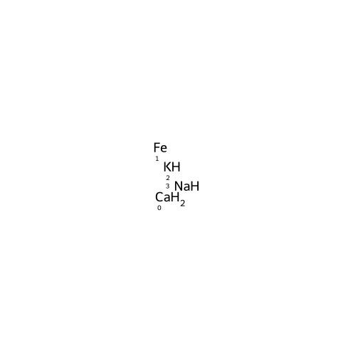 [CaH2].[Fe].[KH].[NaH]